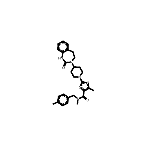 Cc1ccc(CN(C)C(=O)c2sc(N3CCC(N4CCc5ccccc5NC4=O)CC3)nc2C)cc1